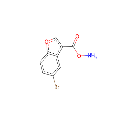 NOC(=O)c1coc2ccc(Br)cc12